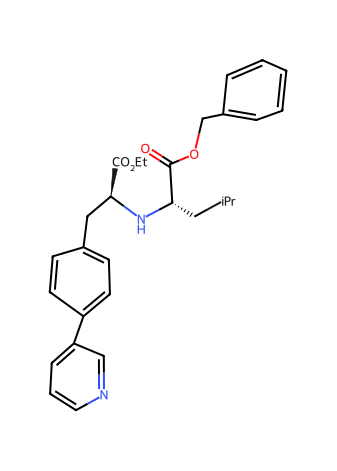 CCOC(=O)[C@H](Cc1ccc(-c2cccnc2)cc1)N[C@@H](CC(C)C)C(=O)OCc1ccccc1